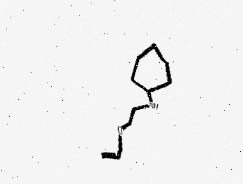 C=COCCNC1CCCCC1